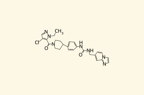 CCn1ncc(Cl)c1C(=O)N1CCC(c2ccc(NC(=O)NCc3ccn4ccnc4c3)cc2)CC1